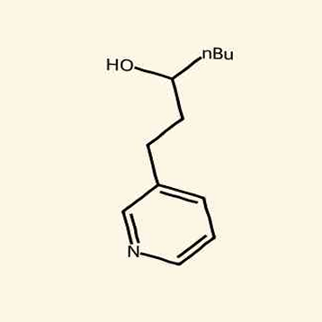 [CH2]CCCC(O)CCc1cccnc1